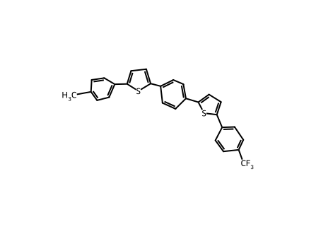 Cc1ccc(-c2ccc(-c3ccc(-c4ccc(-c5ccc(C(F)(F)F)cc5)s4)cc3)s2)cc1